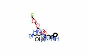 CN(C)CCCCC(NC(=O)C(Cc1c[nH]c2ccccc12)NC=O)C(=O)NCCOCCOCCF